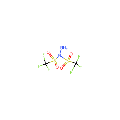 NN(S(=O)(=O)C(F)(F)F)S(=O)(=O)C(F)(F)F